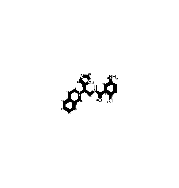 Nc1ccc(Cl)c(C(=O)NCC(c2cncs2)N2CCc3ccccc3C2)c1